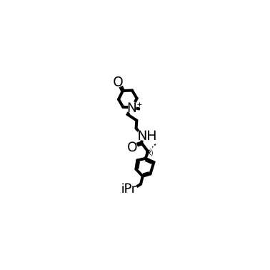 CC(C)Cc1ccc([C@@H](C)C(=O)NCCC[N+]2(C)CCC(=O)CC2)cc1